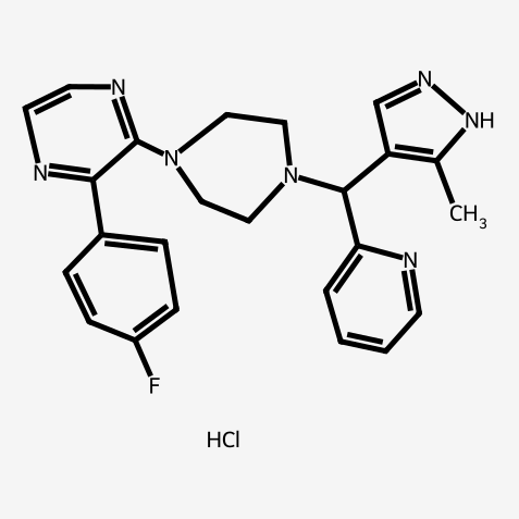 Cc1[nH]ncc1C(c1ccccn1)N1CCN(c2nccnc2-c2ccc(F)cc2)CC1.Cl